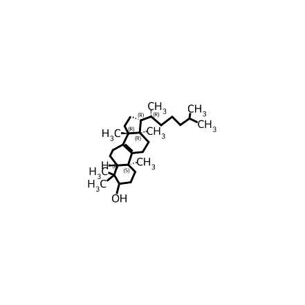 CC(C)CCC[C@@H](C)[C@H]1CC[C@@]2(C)C3=C(CC[C@]12C)[C@@]1(C)CCC(O)C(C)(C)[C@@H]1CC3